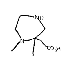 CN1CCNCC1(C)C(=O)O